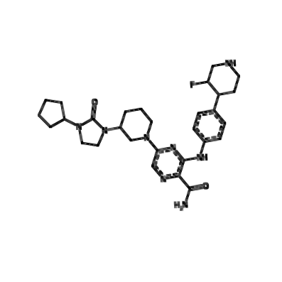 NC(=O)c1ncc(N2CCCC(N3CCN(C4CCCC4)C3=O)C2)nc1Nc1ccc(C2CCNCC2F)cc1